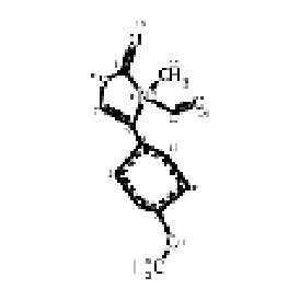 COc1ccc(C2=CSC(=O)[N+]2(C)C=O)cc1